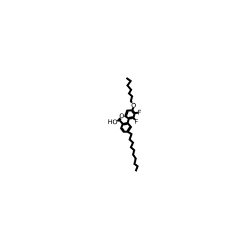 CCCCCCCCCCc1ccc(C(=O)O)c(-c2ccc(OCCCCCCC)c(F)c2F)c1